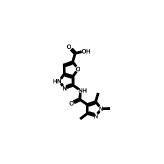 Cc1nn(C)c(C)c1C(=O)Nc1n[nH]c2cc(C(=O)O)oc12